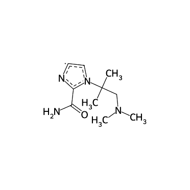 CN(C)CC(C)(C)n1c[c]nc1C(N)=O